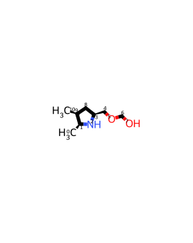 C[C@@H]1N[C@H](COCO)C[C@@H]1C